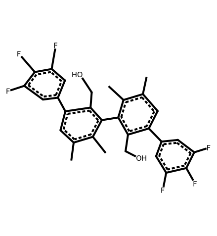 Cc1cc(-c2cc(F)c(F)c(F)c2)c(CO)c(-c2c(C)c(C)cc(-c3cc(F)c(F)c(F)c3)c2CO)c1C